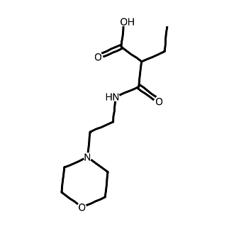 CCC(C(=O)O)C(=O)NCCN1CCOCC1